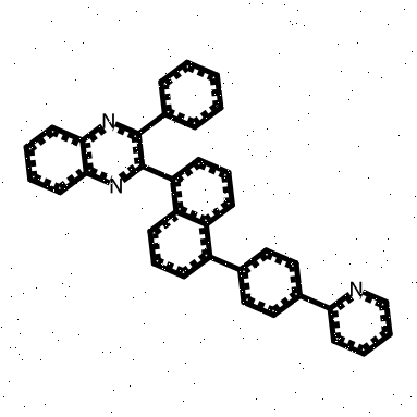 c1ccc(-c2nc3ccccc3nc2-c2cccc3c(-c4ccc(-c5ccccn5)cc4)cccc23)cc1